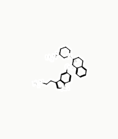 NCCc1c[nH]c2ccc(O[C@H]3c4ccccc4CC[C@@H]3N3CCC[C@H](N)C3)cc12